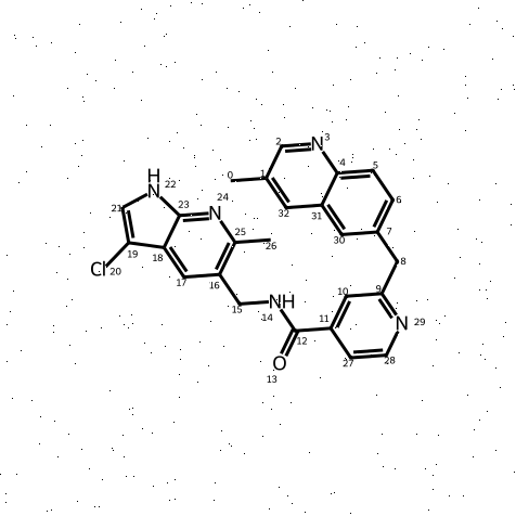 Cc1cnc2ccc(Cc3cc(C(=O)NCc4cc5c(Cl)c[nH]c5nc4C)ccn3)cc2c1